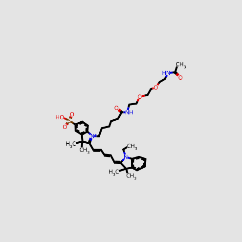 CCN1\C(=C/C=C/C=C/C2=[N+](CCCCCC(=O)NCCOCCOCCNC(C)=O)c3ccc(S(=O)(=O)O)cc3C2(C)C)C(C)(C)c2ccccc21